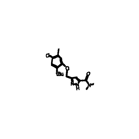 Cc1cc(OCc2cc(C(=O)N(C)C)[nH]n2)c(C(C)(C)C)cc1Cl